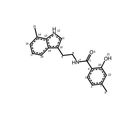 Cc1ccc(C(=O)NCCc2c[nH]c3c(C)cccc23)c(O)c1